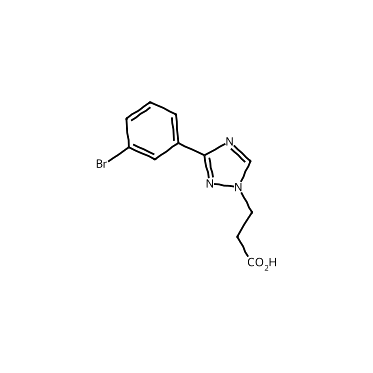 O=C(O)CCn1cnc(-c2cccc(Br)c2)n1